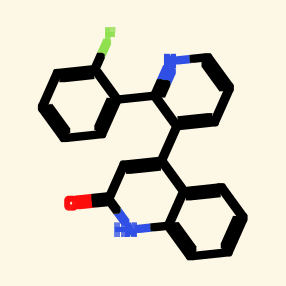 O=c1cc(-c2cccnc2-c2ccccc2F)c2ccccc2[nH]1